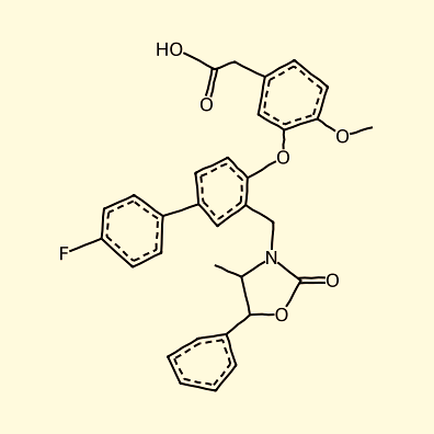 COc1ccc(CC(=O)O)cc1Oc1ccc(-c2ccc(F)cc2)cc1CN1C(=O)OC(c2ccccc2)C1C